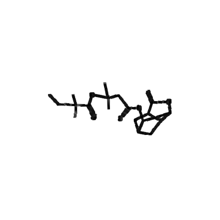 C=C1OC2C3CC(CC13)C2OC(=O)CC(C)(C)OC(=O)C(C)(C)CC